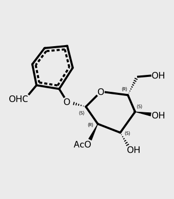 CC(=O)O[C@H]1[C@H](Oc2ccccc2C=O)O[C@H](CO)[C@@H](O)[C@@H]1O